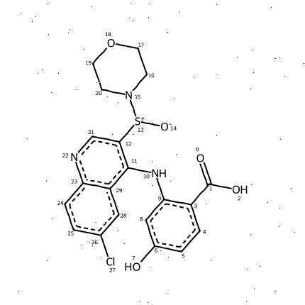 O=C(O)c1ccc(O)cc1Nc1c([S+]([O-])N2CCOCC2)cnc2ccc(Cl)cc12